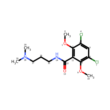 COc1c(Cl)cc(Cl)c(OC)c1C(=O)NCCCN(C)C